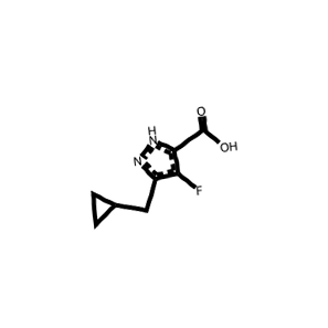 O=C(O)c1[nH]nc(CC2CC2)c1F